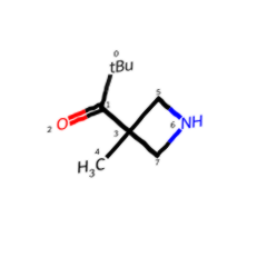 CC(C)(C)C(=O)C1(C)CNC1